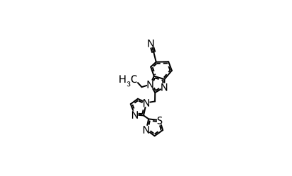 CCn1c(Cn2ccnc2-c2nccs2)nc2ccc(C#N)cc21